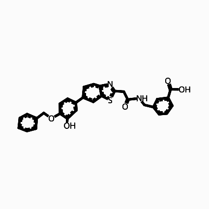 O=C(Cc1nc2ccc(-c3ccc(OCc4ccccc4)c(O)c3)cc2s1)NCc1cccc(C(=O)O)c1